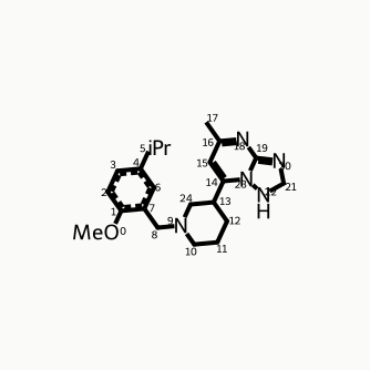 COc1ccc(C(C)C)cc1CN1CCCC(C2=CC(C)=NC3=NCNN23)C1